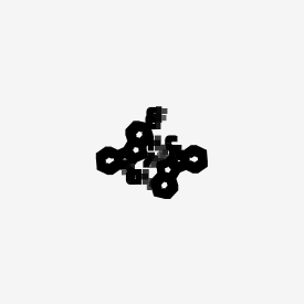 Cn1c2c(c3ccccc31)-c1ccccc1[CH]2[Zr+2][CH]1c2ccccc2-c2c1n(C)c1ccccc21.[Cl-].[Cl-]